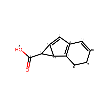 O=C(O)C1C2=CC3=C(CCC=C3)C21